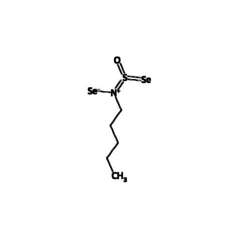 CCCCC[N+]([Se-])=S(=O)=[Se]